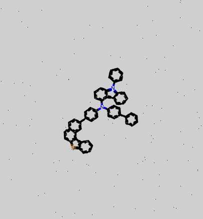 c1ccc(-c2ccc(N(c3ccc(-c4ccc5ccc6sc7ccccc7c6c5c4)cc3)c3cccc4c3c3ccccc3n4-c3ccccc3)cc2)cc1